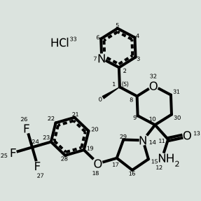 C[C@@H](c1ccccn1)C1CC(C(N)=O)(N2CCC(Oc3cccc(C(F)(F)F)c3)C2)CCO1.Cl